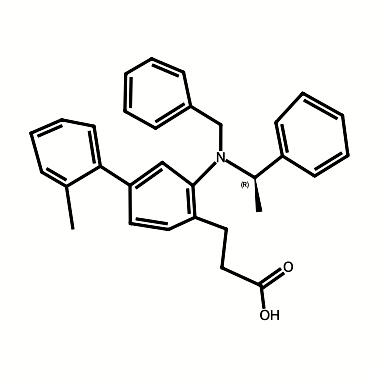 Cc1ccccc1-c1ccc(CCC(=O)O)c(N(Cc2ccccc2)[C@H](C)c2ccccc2)c1